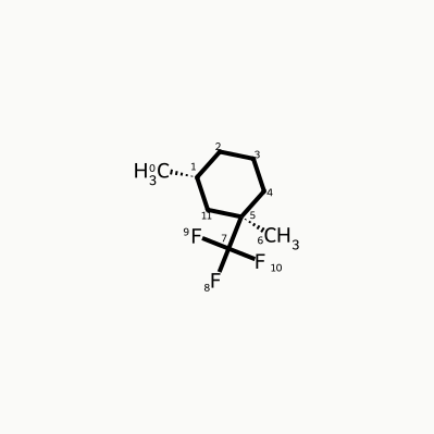 C[C@@H]1CCC[C@@](C)(C(F)(F)F)C1